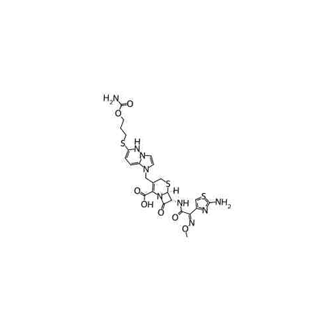 CO/N=C(\C(=O)N[C@@H]1C(=O)N2C(C(=O)O)=C(CN3C=CN4NC(SCCCOC(N)=O)=CC=C34)CS[C@@H]12)c1csc(N)n1